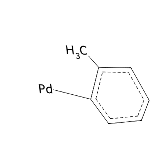 Cc1cccc[c]1[Pd]